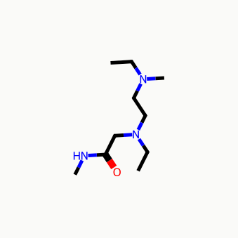 CCN(C)CCN(CC)CC(=O)NC